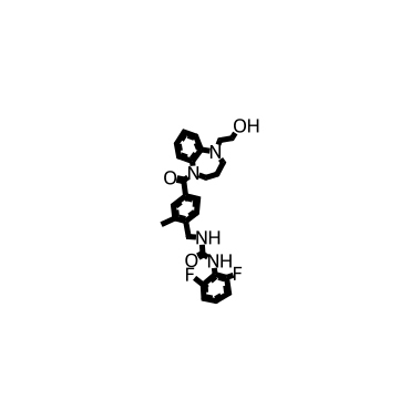 Cc1cc(C(=O)N2CCCN(CCO)c3ccccc32)ccc1CNC(=O)Nc1c(F)cccc1F